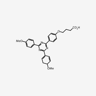 COc1ccc(-c2nc(C3=CCC(OC)C=C3)nc(-c3ccc(OCCCC(=O)O)cc3)n2)cc1